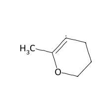 CC1=[C]CCCO1